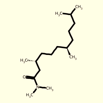 CC(C)CCC[C@@H](C)CCC[C@@H](C)CC(=O)N(C)C